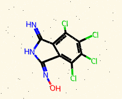 N=C1N/C(=N/O)c2c(Cl)c(Cl)c(Cl)c(Cl)c21